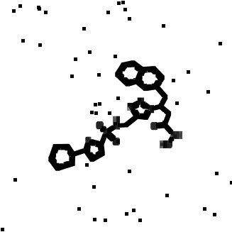 O=C(CC(Cc1ccc2ccccc2c1)n1cc(CNS(=O)(=O)c2ccc(-c3ccccc3)s2)nn1)NO